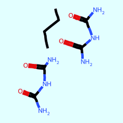 CCCC.NC(=O)NC(N)=O.NC(=O)NC(N)=O